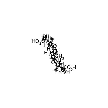 Cc1c(NC(=O)c2cc(C3CC3)c(CN[C@](C)(CO)C(=O)O)cn2)cccc1-c1cccc(NC(=O)c2cc(C3CC3)c(CN[C@@](C)(CO)C(=O)O)cn2)c1C